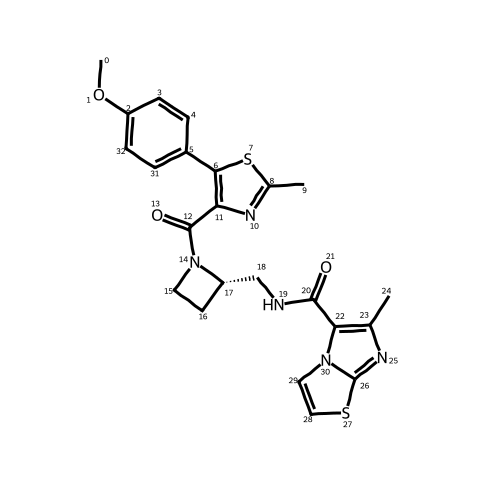 COc1ccc(-c2sc(C)nc2C(=O)N2CC[C@H]2CNC(=O)c2c(C)nc3sccn23)cc1